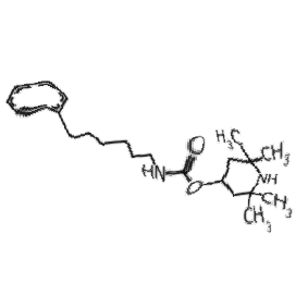 CC1(C)CC(OC(=O)NCCCCCCc2ccccc2)CC(C)(C)N1